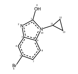 Oc1nc2cc(Br)ccc2n1C1CC1